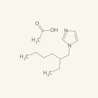 CC(=O)O.CCCCC(CC)Cn1ccnc1